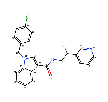 O=C(NCC(O)c1cccnc1)c1cn(Cc2ccc(Cl)cc2)c2ccccc12